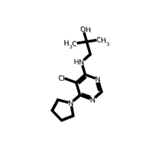 CC(C)(O)CNc1ncnc(N2CCCC2)c1Cl